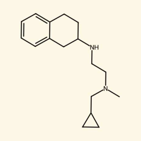 CN(CCNC1CCc2ccccc2C1)CC1CC1